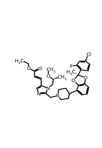 CCOC(=O)/C=C/c1cnc(CN2CCC(c3cccc4c3O[C@@](C)(c3ccc(Cl)cc3F)O4)CC2)n1C[C@H](C)OC